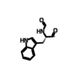 O=[C][C@H](Cc1c[nH]c2ccccc12)NC=O